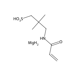 C=CC(=O)NCC(C)(C)CS(=O)(=O)O.[MgH2]